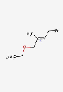 CCOC(=O)COC/C(C)=C/CC(C)C